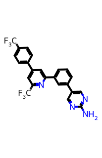 Nc1ncc(-c2cccc(-c3cc(-c4ccc(C(F)(F)F)cc4)cc(C(F)(F)F)n3)c2)cn1